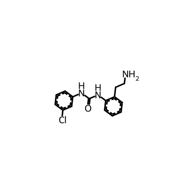 NCCc1ccccc1NC(=O)Nc1cccc(Cl)c1